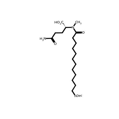 CCCCCCCCCCCCCCCCCCCCCC(=O)N(C)[C@H](CCC(N)=O)C(=O)O